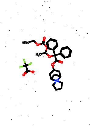 CCCCCCCCCCCOC(=O)OC(C)OC(C(=O)OC1CC2CCC(C1)[N+]21CCCC1)(c1ccccc1)c1ccccc1.O=C([O-])C(F)(F)F